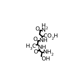 CC(NC(=O)C(N)CO)C(=O)NC(CC(N)=O)C(=O)O